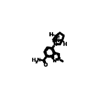 Cn1cc2c(N3C[C@H]4CC[C@@H](C3)N4)ccc(C(N)=O)c2n1